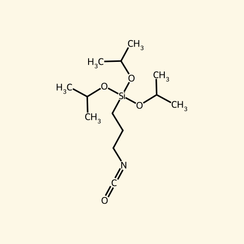 CC(C)O[Si](CCCN=C=O)(OC(C)C)OC(C)C